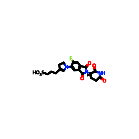 O=C1CC[C@H](N2C(=O)c3cc(F)c(N4C=C(CCCS(=O)(=O)O)CC4)cc3C2=O)C(=O)N1